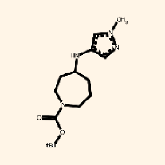 Cn1cc(NC2CCCN(C(=O)OC(C)(C)C)CC2)cn1